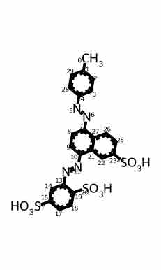 Cc1ccc(N=Nc2ccc(N=Nc3cc(S(=O)(=O)O)ccc3S(=O)(=O)O)c3cc(S(=O)(=O)O)ccc23)cc1